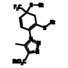 CCOC(=O)c1nnn(C2=C(SCC)CC(SCC)(C(F)(F)F)C=C2)c1C